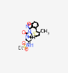 CCS(=O)(=O)N[C@H]1C[C@H]2CN(c3noc4cccc(-c5sccc5C)c34)C(=O)N2C1